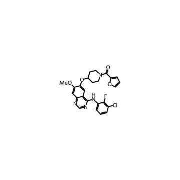 COc1cc2ncnc(Nc3cccc(Cl)c3F)c2cc1OC1CCN(C(=O)c2ccco2)CC1